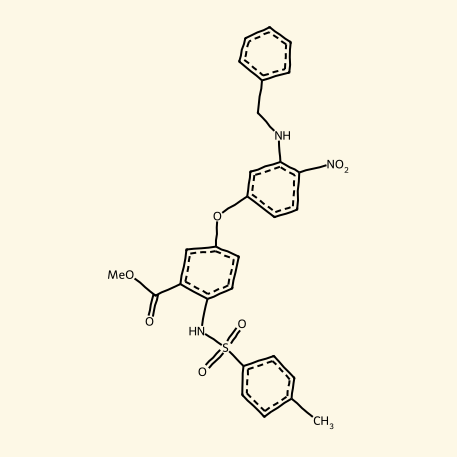 COC(=O)c1cc(Oc2ccc([N+](=O)[O-])c(NCc3ccccc3)c2)ccc1NS(=O)(=O)c1ccc(C)cc1